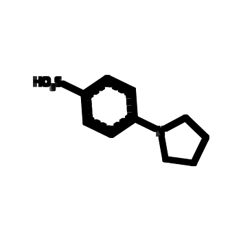 O=S(=O)(O)c1ccc(N2CCCC2)cc1